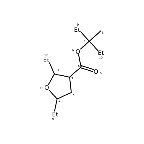 CCC1CC(C(=O)OC(C)(CC)CC)C(CC)O1